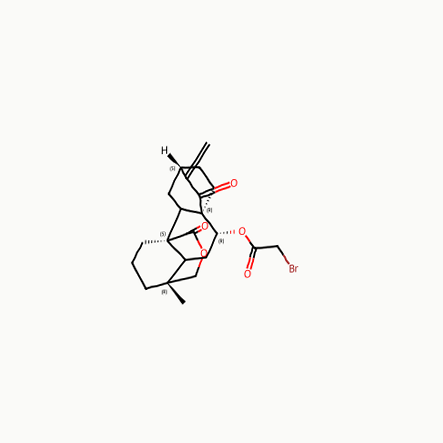 C=C1C(=O)[C@]23CC[C@H]1CC2[C@@]12CCC[C@@](C)(COC1=O)C2C[C@H]3OC(=O)CBr